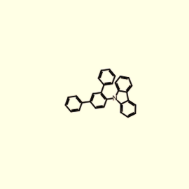 c1ccc(-c2ccc(-n3c4ccccc4c4ccccc43)c(-c3ccccc3)c2)cc1